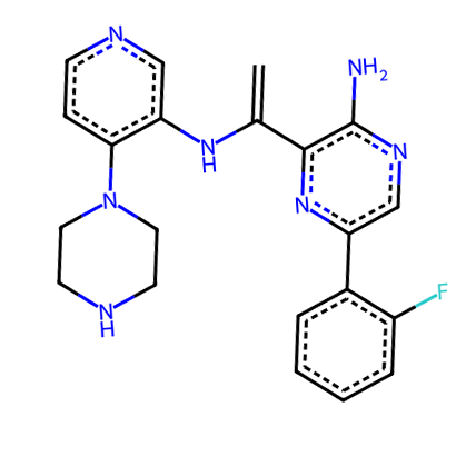 C=C(Nc1cnccc1N1CCNCC1)c1nc(-c2ccccc2F)cnc1N